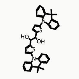 CC1(C)c2ccccc2N(c2ccc(C(O)C(O)c3ccc(N4c5ccccc5C(C)(C)c5ccccc54)s3)s2)c2ccccc21